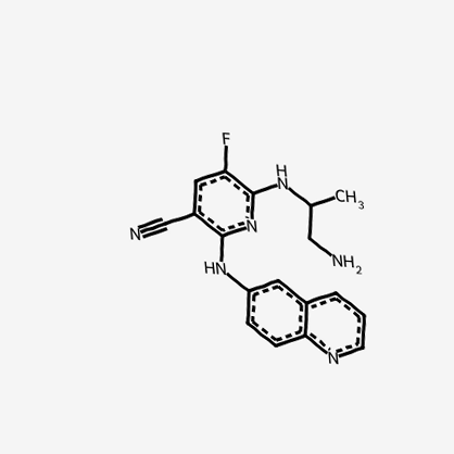 CC(CN)Nc1nc(Nc2ccc3ncccc3c2)c(C#N)cc1F